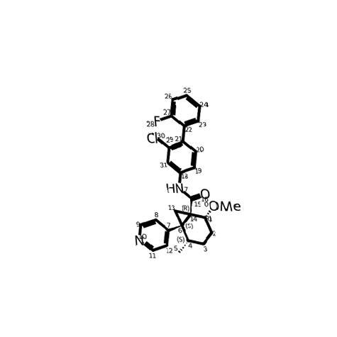 CO[C@@H]1CC[C@H](C)[C@]2(c3ccncc3)C[C@]12C(=O)Nc1ccc(-c2ccccc2F)c(Cl)c1